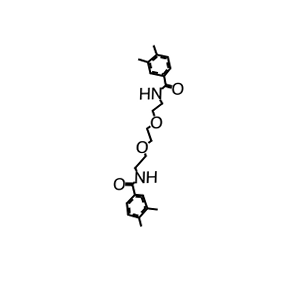 Cc1ccc(C(=O)NCCOCCOCCNC(=O)c2ccc(C)c(C)c2)cc1C